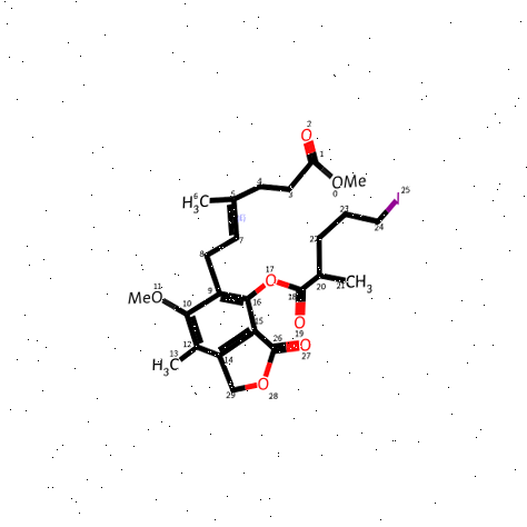 COC(=O)CC/C(C)=C/Cc1c(OC)c(C)c2c(c1OC(=O)C(C)CCCI)C(=O)OC2